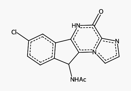 CC(=O)NC1c2ccc(Cl)cc2-c2[nH]c(=O)c3nccn3c21